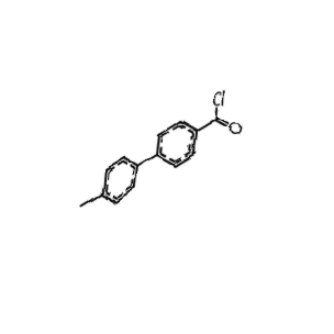 Cc1ccc(-c2ccc(C(=O)Cl)cc2)cc1